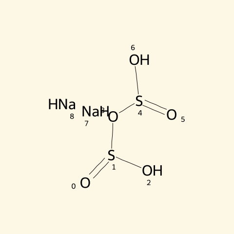 O=S(O)OS(=O)O.[NaH].[NaH]